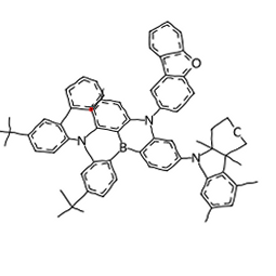 Cc1cc2c3c(c1)N(c1ccc(C(C)(C)C)cc1-c1ccccc1)c1cc(C(C)(C)C)ccc1B3c1ccc(N3c4cc(C)cc(C)c4C4(C)CCCCC34C)cc1N2c1ccc2oc3ccccc3c2c1